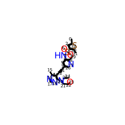 Cc1cc(S(=O)(=O)Nc2cc(C#Cc3c(C)ncnc3N3CCOCC3)cnc2C)c(C)s1